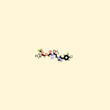 C=C(CCn1cnc(-c2ccc(Cl)c(F)c2)c1)NC(=O)COCC(C)OC(F)(F)F